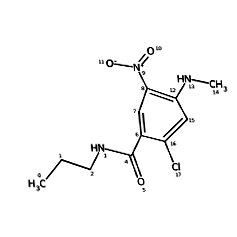 CCCNC(=O)c1cc([N+](=O)[O-])c(NC)cc1Cl